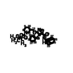 CC(C)(C)OC(=O)N1CCCC(COc2noc(C(=O)NC3C4CC5CC(C4)CC3C5)c2Sc2ccccc2)C1